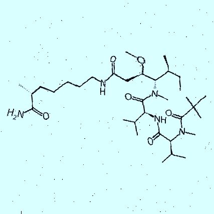 CC[C@H](C)[C@@H]([C@@H](CC(=O)NCCCCC[C@@H](C)C(N)=O)OC)N(C)C(=O)[C@@H](NC(=O)[C@H](C(C)C)N(C)C(=O)C(C)(C)C)C(C)C